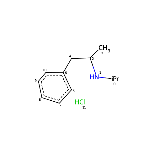 CC(C)NC(C)Cc1ccccc1.Cl